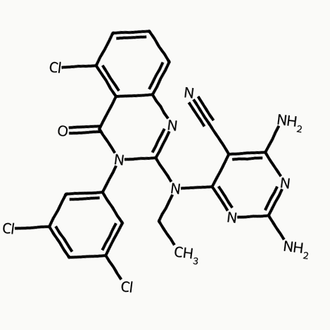 CCN(c1nc(N)nc(N)c1C#N)c1nc2cccc(Cl)c2c(=O)n1-c1cc(Cl)cc(Cl)c1